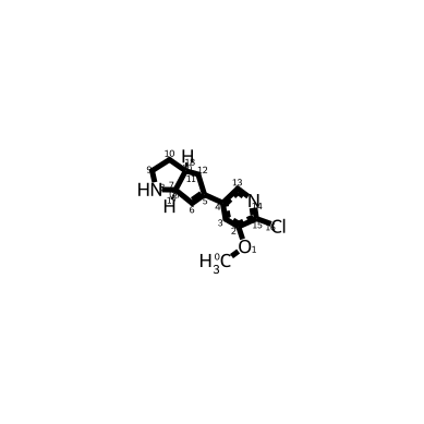 COc1cc(C2=C[C@H]3NCC[C@H]3C2)cnc1Cl